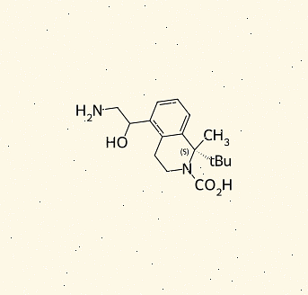 CC(C)(C)[C@@]1(C)c2cccc(C(O)CN)c2CCN1C(=O)O